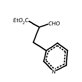 CCOC(=O)C(C=O)Cc1cccnc1